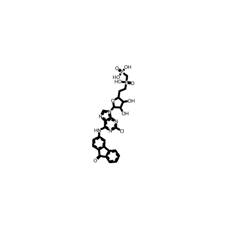 O=C1c2ccccc2-c2cc(Nc3nc(Cl)nc4c3ncn4C3OC(CCP(=O)(O)CP(=O)(O)O)C(O)C3O)ccc21